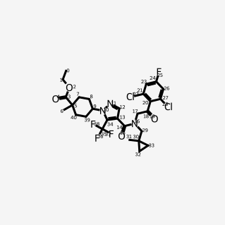 CCOC(=O)C1(C)CCC(n2ncc(C(=O)N(CC(=O)c3c(Cl)cc(F)cc3Cl)CC3(C)CC3)c2C(F)(F)F)CC1